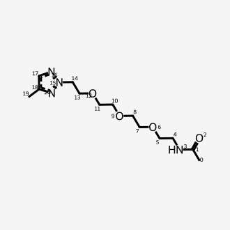 CC(=O)NCCOCCOCCOCCn1ncc(C)n1